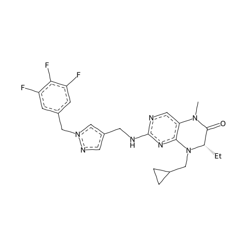 CC[C@H]1C(=O)N(C)c2cnc(NCc3cnn(Cc4cc(F)c(F)c(F)c4)c3)nc2N1CC1CC1